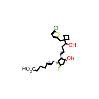 O=C(O)CCC/C=C/C[C@H]1C(F)C[C@@H](O)[C@@H]1/C=C/CC(O)C1(Cc2ccc(Cl)s2)CCC1